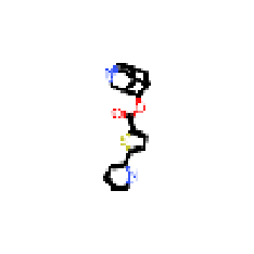 O=C(OC1C2CC3CC1CN(C3)C2)c1ccc(-c2ccccn2)s1